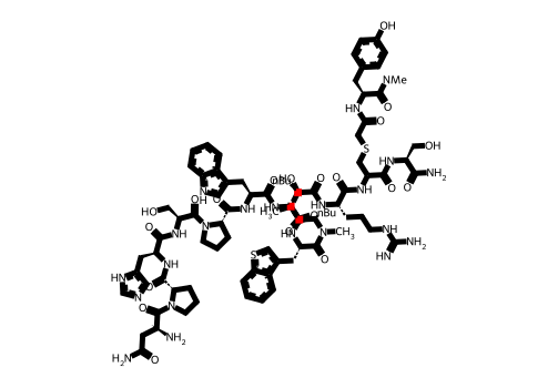 CCCC[C@@H](C(=O)N(C)[C@@H](CCCC)C(=O)N[C@@H](CCCNC(=N)N)C(=O)NC(CSCC(=O)N[C@@H](Cc1ccc(O)cc1)C(=O)NC)C(=O)N[C@@H](CO)C(N)=O)N(C)C(=O)[C@H](Cc1csc2ccccc12)NC(=O)[C@H](CO)NC(=O)[C@H](Cc1c[nH]c2ccccc12)NC(=O)[C@@H]1CCCN1C(=O)[C@H](CO)NC(=O)[C@H](Cc1cnc[nH]1)NC(=O)[C@@H]1CCCN1C(=O)[C@@H](N)CC(N)=O